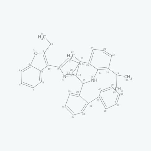 CCc1oc2ccccc2c1-c1csc(C(Nc2c(C(C)C)cccc2C(C)C)c2ccccc2-c2ccccc2)n1